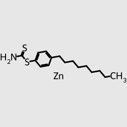 CCCCCCCCCc1ccc(SC(N)=S)cc1.[Zn]